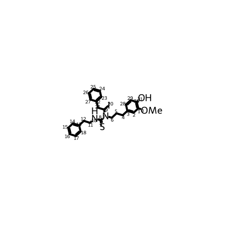 COc1cc(CCCN(C(=S)NCCc2ccccc2)C(I)Cc2ccccc2)ccc1O